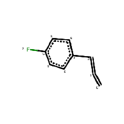 C=C=Cc1ccc(F)cc1